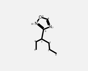 CCCC(CC)c1ncon1